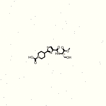 COC(=O)[C@H](CO)NC(=O)c1csc(C2CCN(C(=O)O)CC2)n1